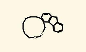 [CH]1c2ccccc2-c2c1ccc1c2CCCCCCCCCCC1